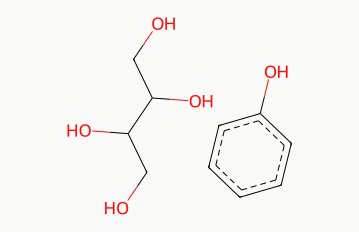 OCC(O)C(O)CO.Oc1ccccc1